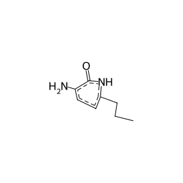 CCCc1ccc(N)c(=O)[nH]1